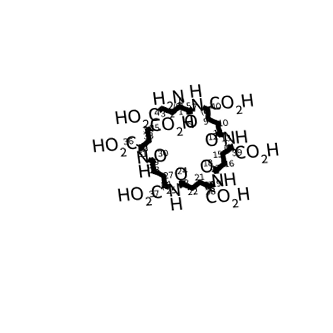 N[C@@H](CCC(=O)O)C(=O)N[C@@H](CCC(=O)N[C@@H](CCC(=O)N[C@@H](CCC(=O)N[C@@H](CCC(=O)N[C@@H](CCC(=O)O)C(=O)O)C(=O)O)C(=O)O)C(=O)O)C(=O)O